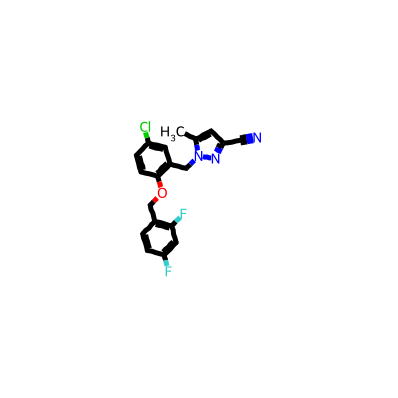 Cc1cc(C#N)nn1Cc1cc(Cl)ccc1OCc1ccc(F)cc1F